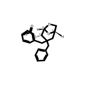 O=NC(=O)O[C@@H]1[C@@H]2OC[C@H](CC1(Cc1ccccc1)Cc1ccccc1)O2